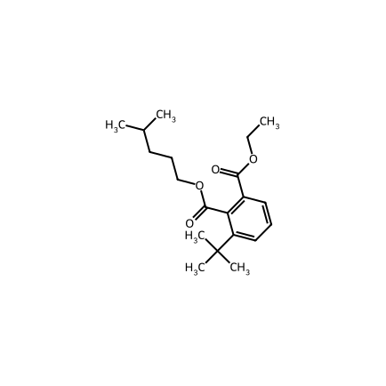 CCOC(=O)c1cccc(C(C)(C)C)c1C(=O)OCCCC(C)C